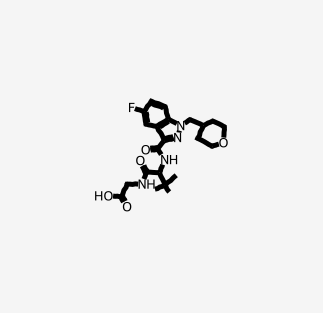 CC(C)(C)C(NC(=O)c1nn(CC2CCOCC2)c2ccc(F)cc12)C(=O)NCC(=O)O